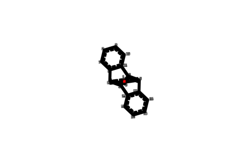 [c]1cc2c3c(c1-c1ccccc1-3)-c1ccccc1-2